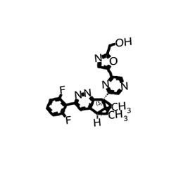 CC1(C)[C@H]2CC[C@]1(c1cncc(-c3cnc(CO)o3)n1)c1nnc(-c3c(F)cccc3F)cc12